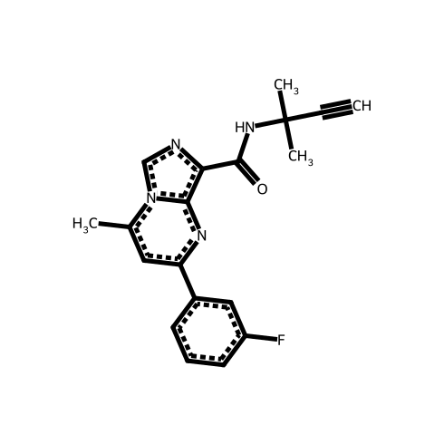 C#CC(C)(C)NC(=O)c1ncn2c(C)cc(-c3cccc(F)c3)nc12